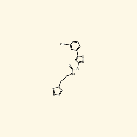 O=C(NCCCn1ccnc1)Oc1cc(-c2cccc([N+](=O)[O-])c2)on1